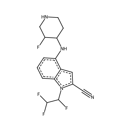 N#Cc1cc2c(NC3CCNCC3F)cccc2n1C(F)C(F)F